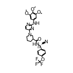 COc1cc(Nc2nccc(N3CCCC(C(=O)N[C@H](C#N)c4ccc(OC(F)(F)F)cc4)C3)n2)cc(OC)c1OC